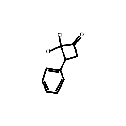 O=C1CC(c2ccccc2)C1(Cl)Cl